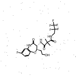 CC(C)(C(=O)NCC(F)(F)C(F)(F)F)C(=O)N[C@H]1C(=O)Nc2cc(F)ccc2O[C@@H]1CCO